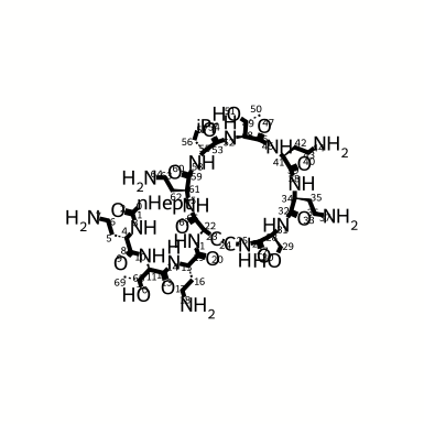 CCCCCCCC(=O)N[C@@H](CCN)C(=O)N[C@H](C(=O)N[C@@H](CCN)C(=O)N[C@H]1CCNC(=O)[C@H](CO)NC(=O)[C@H](CCN)NC(=O)[C@H](CCN)NC(=O)[C@H]([C@@H](C)O)NC(=O)[C@@H](CC(C)C)NC(=O)[C@H](CCN)NC1=O)[C@@H](C)O